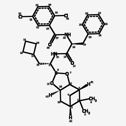 CC1(C)[C@H]2C[C@@H]1C1OB([C@H](CC3CCC3)NC(=O)[C@H](Cc3ccccc3)NC(=O)c3cc(Cl)ccc3Cl)O[C@@H]1C2